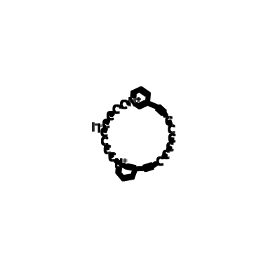 C1#Cc2ccc[n+](c2)CCCCCCCC[n+]2cccc(c2)C#CCCCCCC1.[I-].[I-]